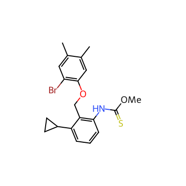 COC(=S)Nc1cccc(C2CC2)c1COc1cc(C)c(C)cc1Br